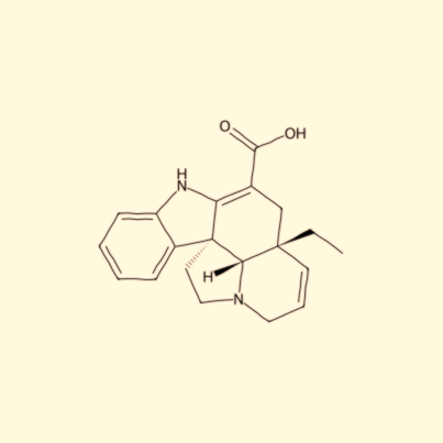 CC[C@]12C=CCN3CC[C@]4(C(=C(C(=O)O)C1)Nc1ccccc14)[C@@H]32